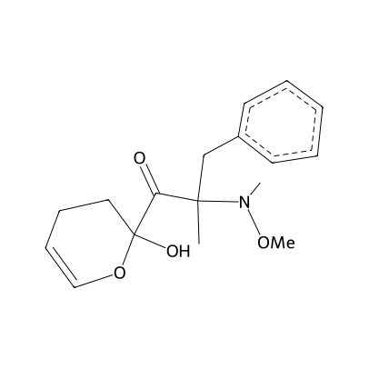 CON(C)C(C)(Cc1ccccc1)C(=O)C1(O)CCC=CO1